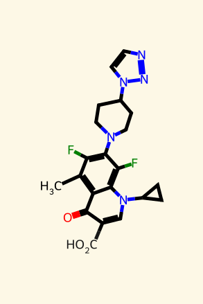 Cc1c(F)c(N2CCC(n3ccnn3)CC2)c(F)c2c1c(=O)c(C(=O)O)cn2C1CC1